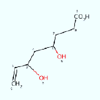 C=CC(O)CC(O)CCC(=O)O